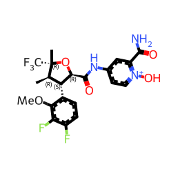 COc1c([C@@H]2[C@@H](C)[C@](C)(C(F)(F)F)O[C@H]2C(=O)Nc2cc[n+](O)c(C(N)=O)c2)ccc(F)c1F